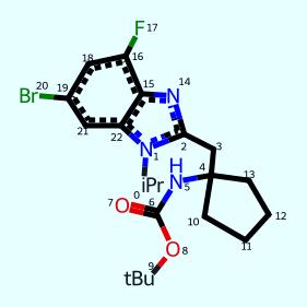 CC(C)n1c(CC2(NC(=O)OC(C)(C)C)CCCC2)nc2c(F)cc(Br)cc21